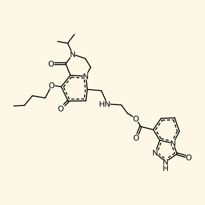 CCCCOc1c2n(c(CNCCOC(=O)c3cccn4c(=O)[nH]nc34)cc1=O)CCN(C(C)C)C2=O